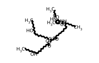 CCCCCCC(O)C/C=C\CCCCCCCC(=O)OCC(COC(=O)CCCCCCC/C=C\CC(CCCCCC)OC(=O)Nc1ccc(C)c(NC(=O)OCCCC)c1)OC(=O)CCCCCCC/C=C\CC(O)CCCCCC